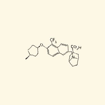 C[C@H]1CC[C@@H](Oc2ccc3cc(CN4C5CCC4CC(C(=O)O)C5)ccc3c2C(F)(F)F)CC1